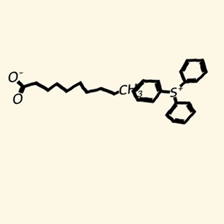 CCCCCCCCCC(=O)[O-].c1ccc([S+](c2ccccc2)c2ccccc2)cc1